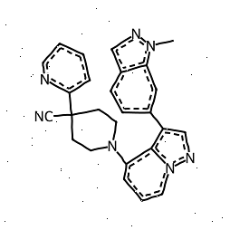 Cn1ncc2ccc(-c3cnn4cccc(N5CCC(C#N)(c6ccccn6)CC5)c34)cc21